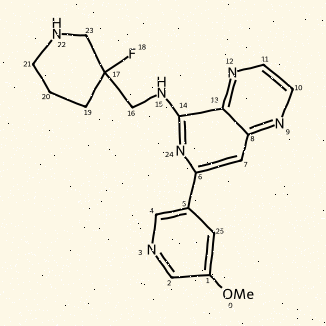 COc1cncc(-c2cc3nccnc3c(NCC3(F)CCCNC3)n2)c1